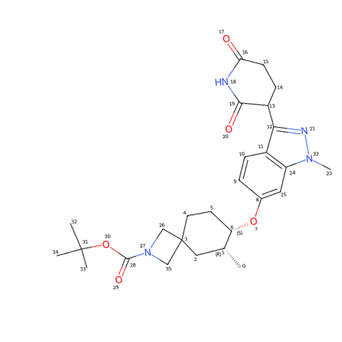 C[C@@H]1CC2(CC[C@@H]1Oc1ccc3c(C4CCC(=O)NC4=O)nn(C)c3c1)CN(C(=O)OC(C)(C)C)C2